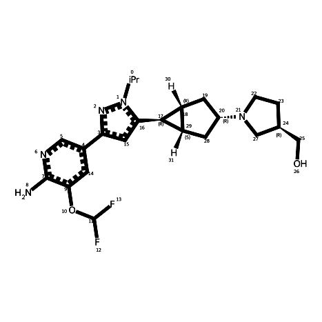 CC(C)n1nc(-c2cnc(N)c(OC(F)F)c2)cc1[C@H]1[C@@H]2C[C@H](N3CC[C@@H](CO)C3)C[C@@H]21